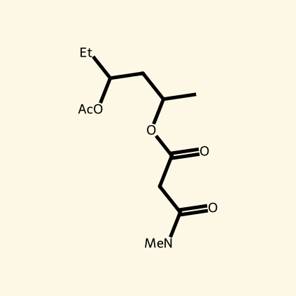 CCC(CC(C)OC(=O)CC(=O)NC)OC(C)=O